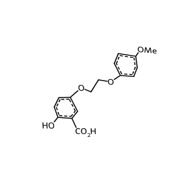 COc1ccc(OCCOc2ccc(O)c(C(=O)O)c2)cc1